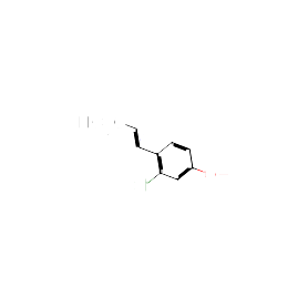 O=C(O)/C=C/c1ccc(O)cc1Cl